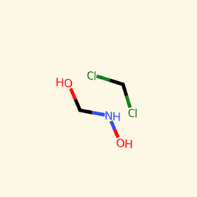 ClCCl.OCNO